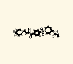 C=CC(=O)NC1CCCN(S(=O)(=O)c2ccc(C(=O)NCCN3CCC(F)(F)CC3)cc2)CC1